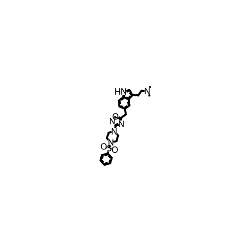 CN(C)CCc1c[nH]c2ccc(Cc3nc(N4CCN(S(=O)(=O)c5ccccc5)CC4)no3)cc12